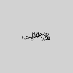 CC(C)c1ccsc1C(=O)NCc1cn2ncc(CNC(=O)CCC(F)(F)F)cc2n1